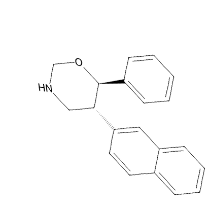 c1ccc([C@@H]2OCNC[C@H]2c2ccc3ccccc3c2)cc1